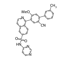 COc1cc(-c2cccc(C)c2)c(C#N)cc1-c1nccc2cc(S(=O)(=O)Nc3ccncn3)ccc12